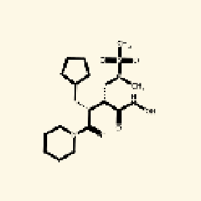 CN(C[C@H](C(=O)NO)[C@@H](CC1CCCC1)C(=O)N1CCCCC1)S(C)(=O)=O